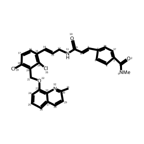 CNC(=O)c1ccc(C=CC(=O)NCC=Cc2ccc(Cl)c(COc3cccc4ccc(C)nc34)c2Cl)cc1